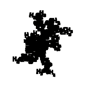 CC(C)COC(=O)c1ccc(OCC(COc2ccc(C(=O)OCC(C)C)cc2)(COc2ccc(C(=O)OCC(C)C)cc2)Cn2nc3c(-c4ccc(N(c5ccccc5)c5ccccc5)cc4)c4n[n+](CC(COc5ccc(C(=O)OCC(C)C)cc5)(COc5ccc(C(=O)OCC(C)C)cc5)COc5ccc(C(=O)OCC(C)C)cc5)[n-]c4c(-c4ccc(N(c5ccccc5)c5ccccc5)cc4)c3n2)cc1